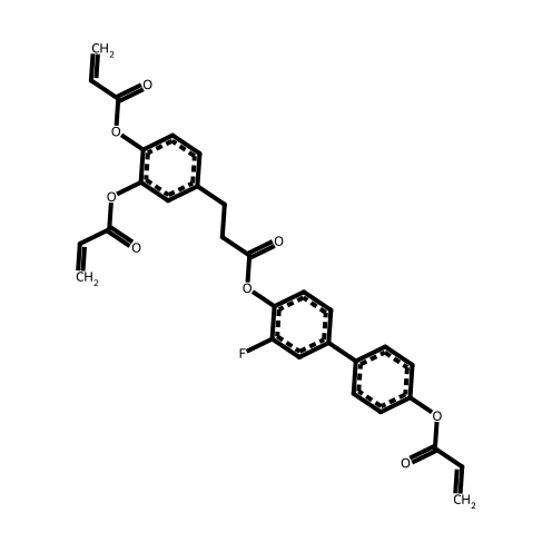 C=CC(=O)Oc1ccc(-c2ccc(OC(=O)CCc3ccc(OC(=O)C=C)c(OC(=O)C=C)c3)c(F)c2)cc1